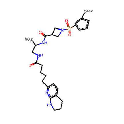 COc1cccc(S(=O)(=O)N2CC(C(=O)NC(CNC(=O)CCCCc3ccc4c(n3)NCCC4)C(=O)O)C2)c1